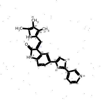 Cc1[nH]c(/C=C2\C(=O)Nc3ccc(-c4csc(-c5cccnc5)n4)cc32)c(C)c1C